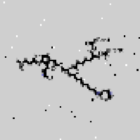 CC/C=C\CC1C(CC(=O)OCC(CCCCCCCC/C=C\C/C=C\CCCCC)OC(=O)CCCCC(COC(=O)CCCCC)COC(=O)CCCCC)CCC1OC(=O)CCN(C)C